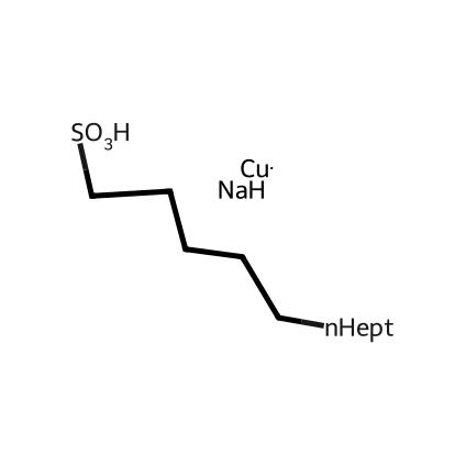 CCCCCCCCCCCCS(=O)(=O)O.[Cu].[NaH]